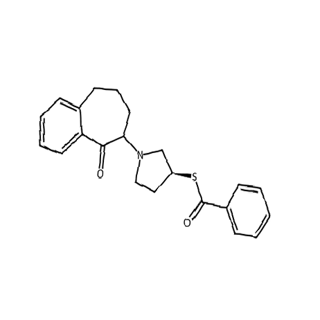 O=C(S[C@H]1CCN(C2CCCc3ccccc3C2=O)C1)c1ccccc1